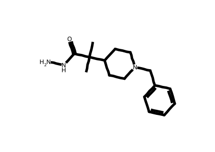 CC(C)(C(=O)NN)C1CCN(Cc2ccccc2)CC1